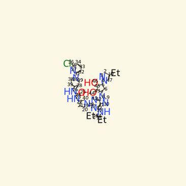 CCc1cnn([C@H]2C[C@@H](n3cnc4c(NC(CC)CC)nc(N5CC[C@@H](NC(=O)NC6CCN(c7cccc(Cl)n7)CC6)C5)nc43)[C@H](O)[C@@H]2O)c1